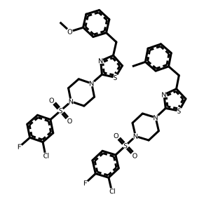 COc1cccc(Cc2csc(N3CCN(S(=O)(=O)c4ccc(F)c(Cl)c4)CC3)n2)c1.Cc1cccc(Cc2csc(N3CCN(S(=O)(=O)c4ccc(F)c(Cl)c4)CC3)n2)c1